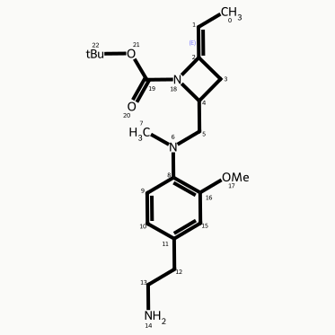 C/C=C1\CC(CN(C)c2ccc(CCN)cc2OC)N1C(=O)OC(C)(C)C